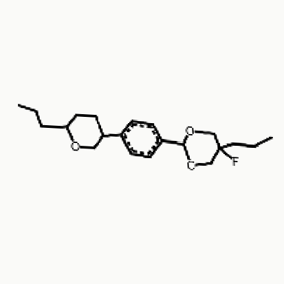 CCCC1CCC(c2ccc(C3OCC(F)(CCC)CO3)cc2)CO1